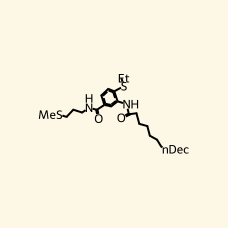 CCCCCCCCCCCCCCCCC(=O)Nc1cc(C(=O)NCCCSC)ccc1SCC